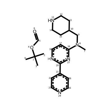 CC(C)(C)OC=O.CN(CC1CCNCC1)c1ccnc(-c2ccncc2)n1